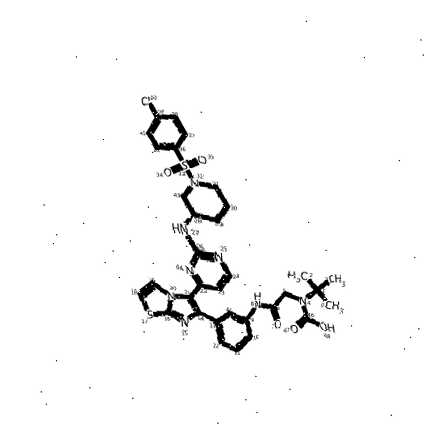 CC(C)(C)N(CC(=O)Nc1cccc(-c2nc3sccn3c2-c2ccnc(N[C@@H]3CCCN(S(=O)(=O)c4ccc(Cl)cc4)C3)n2)c1)C(=O)O